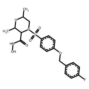 CC1CN(S(=O)(=O)c2ccc(OCc3ccc(F)cc3)cc2)C(C(=O)NO)C(C)O1